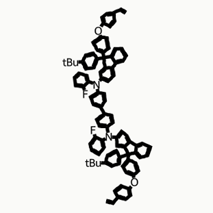 C=Cc1ccc(Oc2ccc(C3(c4ccc(C(C)(C)C)cc4)c4ccccc4-c4ccc(N(c5ccc(-c6ccc(N(c7ccc8c(c7)C(c7ccc(Oc9ccc(C=C)cc9)cc7)(c7ccc(C(C)(C)C)cc7)c7ccccc7-8)c7ccccc7F)cc6)cc5)c5ccccc5F)cc43)cc2)cc1